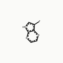 Fc1c[nH]c2nccnc12